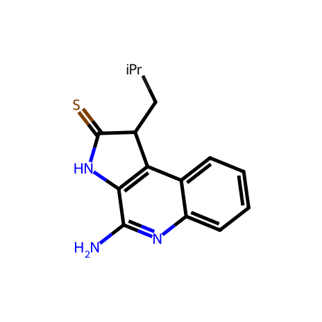 CC(C)CC1C(=S)Nc2c(N)nc3ccccc3c21